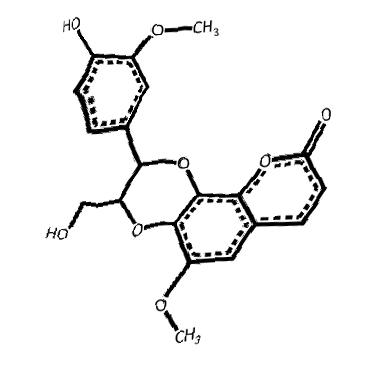 COc1cc(C2Oc3c(c(OC)cc4ccc(=O)oc34)OC2CO)ccc1O